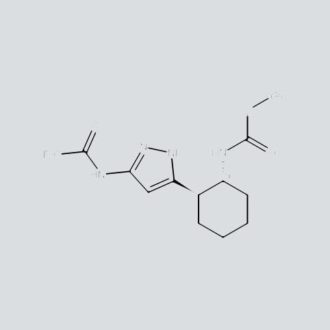 CC(C)(C)OC(=O)N[C@@H]1CCCC[C@H]1c1cc(NC(=O)C(F)(F)F)n[nH]1